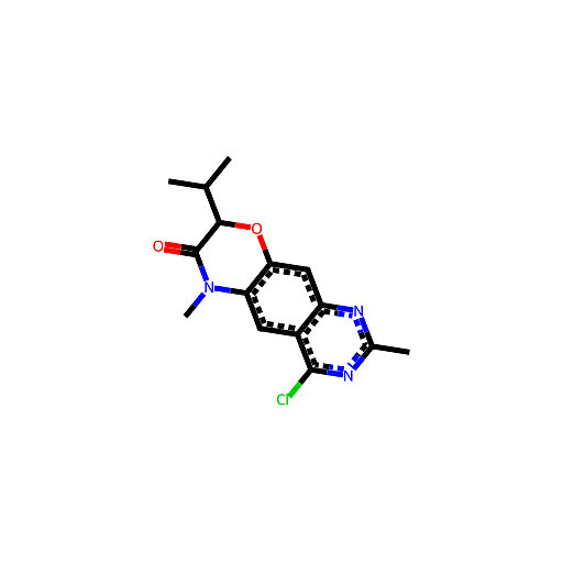 Cc1nc(Cl)c2cc3c(cc2n1)OC(C(C)C)C(=O)N3C